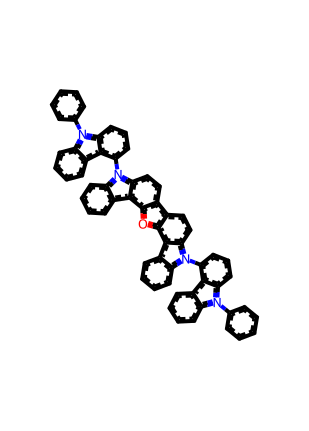 c1ccc(-n2c3ccccc3c3c(-n4c5ccccc5c5c6oc7c(ccc8c7c7ccccc7n8-c7cccc8c7c7ccccc7n8-c7ccccc7)c6ccc54)cccc32)cc1